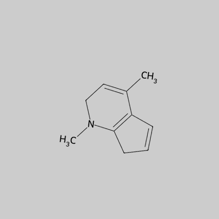 CC1=CCN(C)C2=C1C=CC2